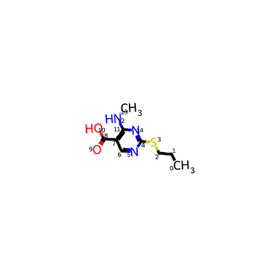 CCCSc1ncc(C(=O)O)c(NC)n1